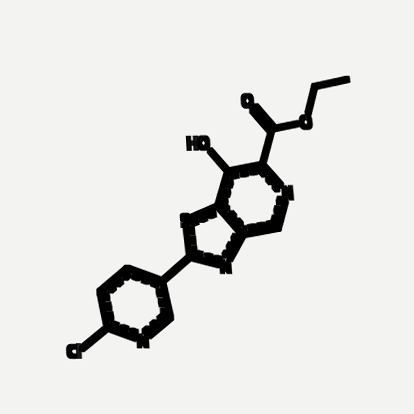 CCOC(=O)c1ncc2nc(-c3ccc(Cl)nc3)sc2c1O